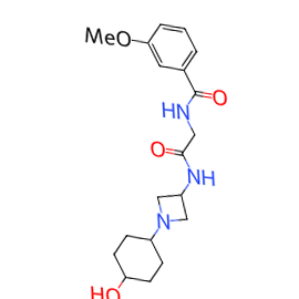 COc1cccc(C(=O)NCC(=O)NC2CN(C3CCC(O)CC3)C2)c1